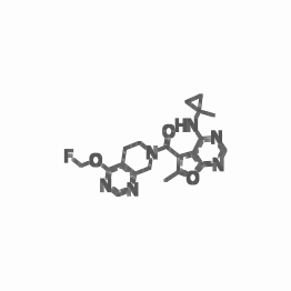 Cc1oc2ncnc(NC3(C)CC3)c2c1C(=O)N1CCc2c(ncnc2OCF)C1